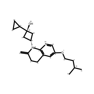 C=C1CCc2cc(OCCC(C)C)cnc2N1[C@H]1C[C@@](O)(C2CC2)C1